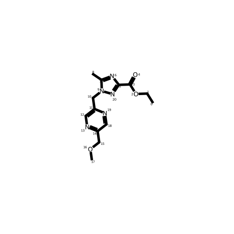 CCOC(=O)c1nc(C)n(Cc2cnc(COC)cn2)n1